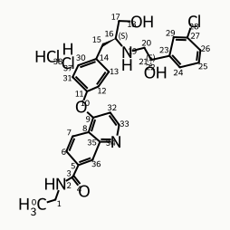 CCNC(=O)c1ccc2c(Oc3ccc(C[C@@H](CO)NC[C@@H](O)c4cccc(Cl)c4)cc3)ccnc2c1.Cl.Cl